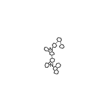 c1ccc(-c2ccccc2-c2ccc(-n3c4ccccc4c4cc(-c5ccc6c(c5)c5ccccc5n6-c5cc6ccccc6c6ccccc56)ccc43)cc2)cc1